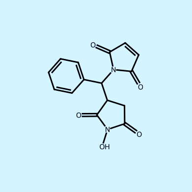 O=C1CC(C(c2ccccc2)N2C(=O)C=CC2=O)C(=O)N1O